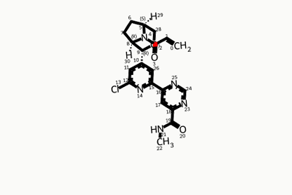 C=CC(=O)N1[C@H]2CC[C@@H]1[C@@H](c1cc(Cl)nc(-c3cc(C(=O)NC)ncn3)c1)OC2